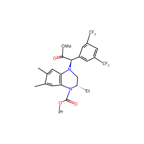 CC[C@H]1CN([C@@H](C(=O)OC)c2cc(C(F)(F)F)cc(C(F)(F)F)c2)c2cc(C)c(C)cc2N1C(=O)OC(C)C